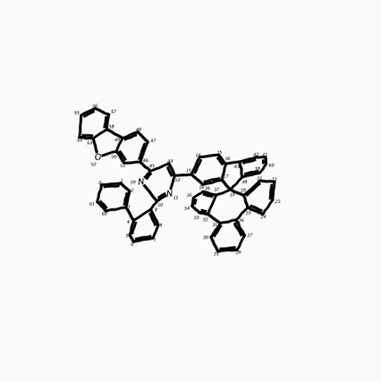 c1ccc(-c2ccccc2-c2nc(-c3ccc4c(c3)C3(c5ccccc5-c5ccccc5-c5ccccc53)c3ccccc3-4)cc(-c3ccc4c(c3)oc3ccccc34)n2)cc1